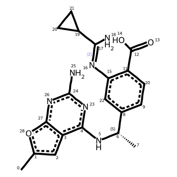 Cc1cc2c(N[C@@H](C)c3ccc(C(=O)O)c(/N=C(\N)C4CC4)c3)nc(N)nc2o1